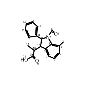 Cc1cccc2c1N(C=O)C(c1ccccc1)C2C(C)C(=O)O